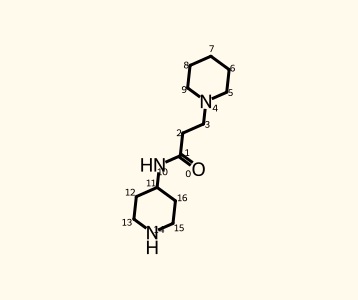 O=C(CCN1CCCCC1)NC1CCNCC1